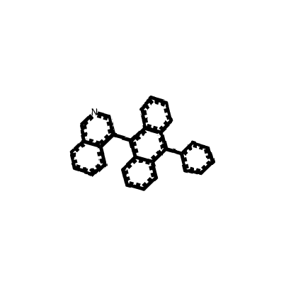 c1ccc(-c2c3ccccc3c(-c3cncc4ccccc34)c3ccccc23)cc1